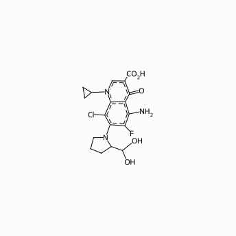 Nc1c(F)c(N2CCCC2C(O)O)c(Cl)c2c1c(=O)c(C(=O)O)cn2C1CC1